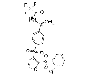 C[C@H](NC(=O)C(F)(F)F)c1ccc(S(=O)(=O)c2ccoc2S(=O)(=O)c2ccccc2Cl)cc1